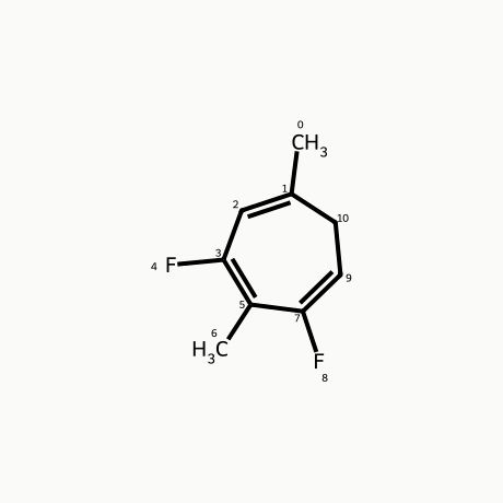 CC1=CC(F)=C(C)C(F)=CC1